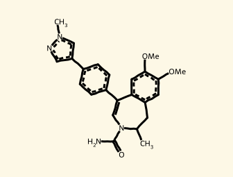 COc1cc2c(cc1OC)C(c1ccc(-c3cnn(C)c3)cc1)=CN(C(N)=O)C(C)C2